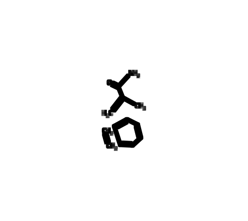 C=C.C=C(C)C(N)=O.c1ccccc1